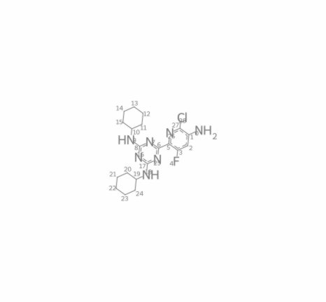 Nc1cc(F)c(-c2nc(NC3CCCCC3)nc(NC3CCCCC3)n2)nc1Cl